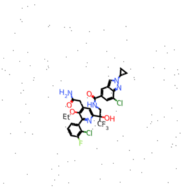 CCOc1c(CC(N)=O)cc([C@@](O)(CNC(=O)c2cc(Cl)c3nn(C4CC4)cc3c2)C(F)(F)F)nc1-c1cccc(F)c1Cl